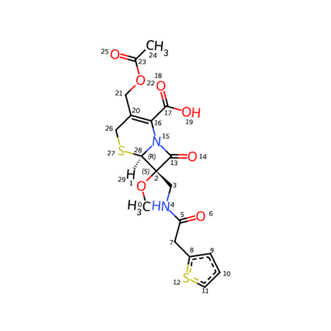 CO[C@@]1(CNC(=O)Cc2cccs2)C(=O)N2C(C(=O)O)=C(COC(C)=O)CS[C@@H]21